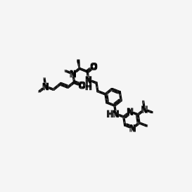 Cc1ncc(Nc2cccc(CCNC(=O)[C@H](C)N(C)C(=O)/C=C/CN(C)C)c2)nc1N(C)C